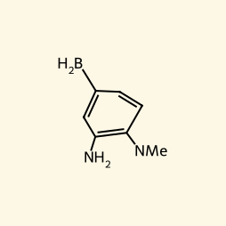 Bc1ccc(NC)c(N)c1